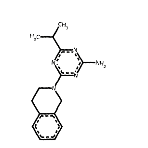 CC(C)c1nc(N)nc(N2CCc3ccccc3C2)n1